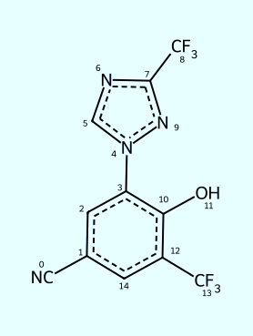 N#Cc1cc(-n2cnc(C(F)(F)F)n2)c(O)c(C(F)(F)F)c1